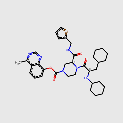 Cc1ncnc2c(OC(=O)N3CCN(C(=O)[C@@H](CC4CCCCC4)NC4CCCCC4)[C@H](C(=O)NCc4cccs4)C3)cccc12